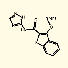 CCCCCOc1c(C(=O)Nc2nnn[nH]2)sc2ccccc12